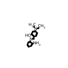 CCN(CC)c1ccc(/C=N/c2ccccc2N)c(O)c1